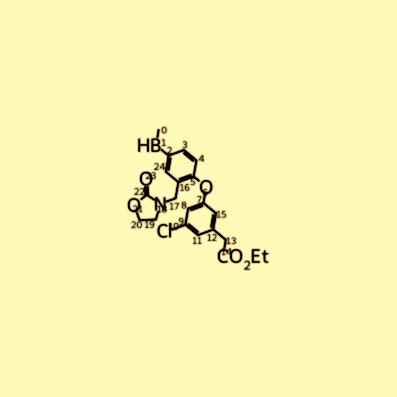 CBc1ccc(Oc2cc(Cl)cc(CC(=O)OCC)c2)c(CN2CCOC2=O)c1